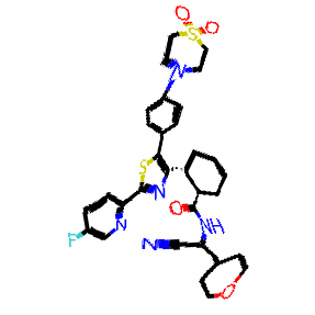 N#CC(NC(=O)[C@@H]1CCCC[C@H]1c1nc(-c2ccc(F)cn2)sc1-c1ccc(N2CCS(=O)(=O)CC2)cc1)C1CCOCC1